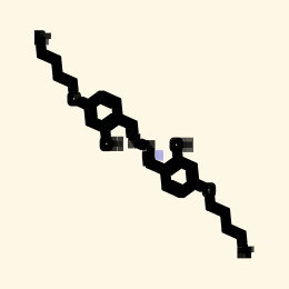 Oc1cc(OCCCCBr)ccc1C=N/N=C/c1ccc(OCCCCBr)cc1O